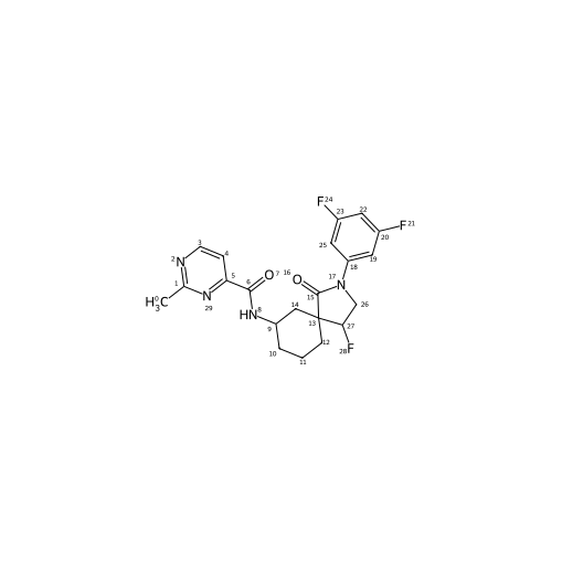 Cc1nccc(C(=O)NC2CCCC3(C2)C(=O)N(c2cc(F)cc(F)c2)CC3F)n1